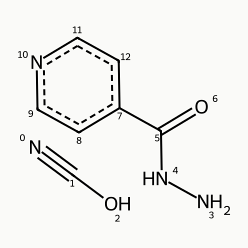 N#CO.NNC(=O)c1ccncc1